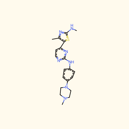 CNc1nc(C)c(-c2ccnc(Nc3ccc(N4CCN(C)CC4)cc3)n2)s1